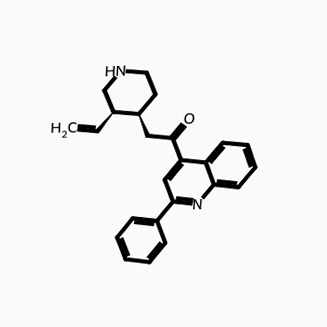 C=C[C@H]1CNCC[C@H]1CC(=O)c1cc(-c2ccccc2)nc2ccccc12